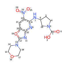 O=C(O)N1CCC(Nc2nc3nc(N4CCOCC4)oc3cc2[N+](=O)[O-])C1